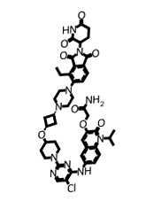 CCc1c(N2CCN([C@H]3C[C@H](OC4CCN(c5ncc(Cl)c(Nc6ccc7c(c6)cc(OCC(N)=O)c(=O)n7C(C)C)n5)CC4)C3)CC2)ccc2c1C(=O)N(C1CCC(=O)NC1=O)C2=O